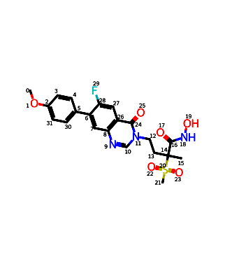 COc1ccc(-c2cc3ncn(CCC(C)(C(=O)NO)S(C)(=O)=O)c(=O)c3cc2F)cc1